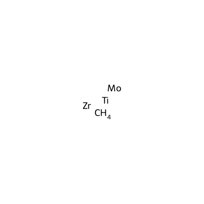 C.[Mo].[Ti].[Zr]